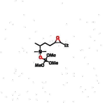 CCC1OC1CCC(C)[Si](C)(C)O[Si](OC)(OC)OC